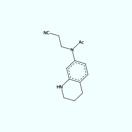 CC(=O)N(CCC#N)c1ccc2c(c1)NCCC2